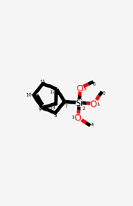 CO[Si](OC)(OC)C1CC2=CCC1C2